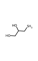 OCC(O)C[SH3]